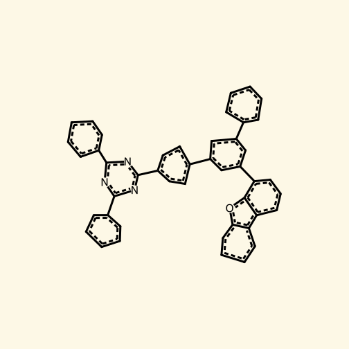 c1ccc(-c2cc(-c3ccc(-c4nc(-c5ccccc5)nc(-c5ccccc5)n4)cc3)cc(-c3cccc4c3oc3ccccc34)c2)cc1